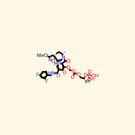 COC1=NO[C@@]2(CC[C@H](C)N3C[C@H]2n2cc(C(=O)NCc4ccc(F)cc4F)c(=O)c(OCOC(=O)OC[C@H](OP(=O)(O)O)C(C)C)c2C3=O)C1